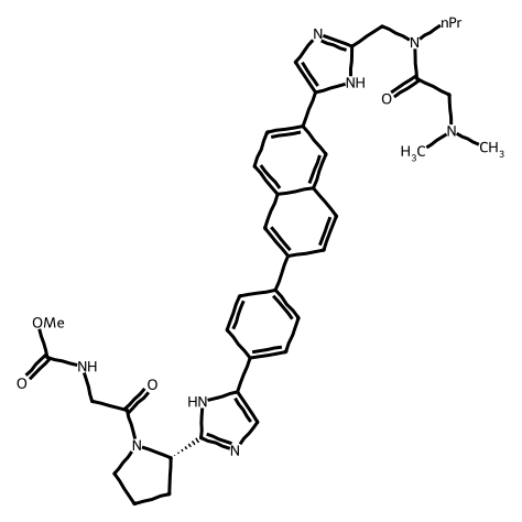 CCCN(Cc1ncc(-c2ccc3cc(-c4ccc(-c5cnc([C@@H]6CCCN6C(=O)CNC(=O)OC)[nH]5)cc4)ccc3c2)[nH]1)C(=O)CN(C)C